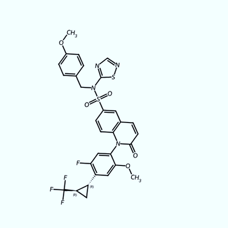 COc1ccc(CN(c2ncns2)S(=O)(=O)c2ccc3c(ccc(=O)n3-c3cc(F)c([C@@H]4C[C@H]4C(F)(F)F)cc3OC)c2)cc1